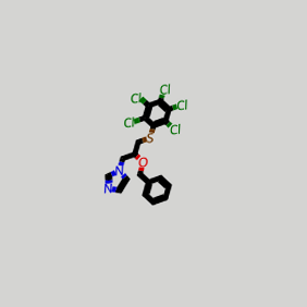 Clc1c(Cl)c(Cl)c(SCC(Cn2ccnc2)OCc2ccccc2)c(Cl)c1Cl